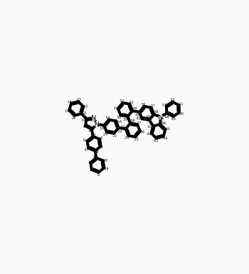 c1ccc(-c2ccc(-c3cc(-c4ccccc4)nn3-c3ccc(-c4ccccc4-c4ccccc4-c4ccc5c(c4)c4ccccc4n5-c4ccccc4)cc3)cc2)cc1